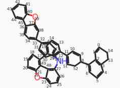 C1=Cc2c(cccc2C2C=CC(c3cccc(-c4cccc5oc6cccc(Nc7ccc(-c8ccc9c(c8)oc8ccccc89)cc7)c6c45)c3)=CC2)CC1